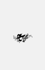 CC(C)c1cccc2c1CCN(S(C)(=O)=O)C2